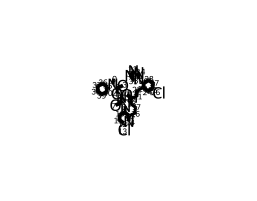 CN(C(=O)ONC(=O)N1c2ccc(Cl)nc2CCC1C(=O)C=Cc1cc(Cl)ccc1-n1cnnn1)c1ccccc1